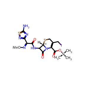 CON=C(C(=O)NC1C(=O)N2C(C(=O)O[Si](C)(C)C)=C(CI)CS[C@@H]12)c1nsc(N)n1